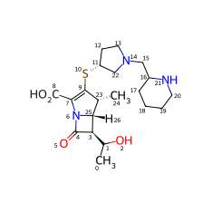 CC(O)[C@H]1C(=O)N2C(C(=O)O)=C(S[C@@H]3CCN(CC4CCCCN4)C3)[C@H](C)[C@H]12